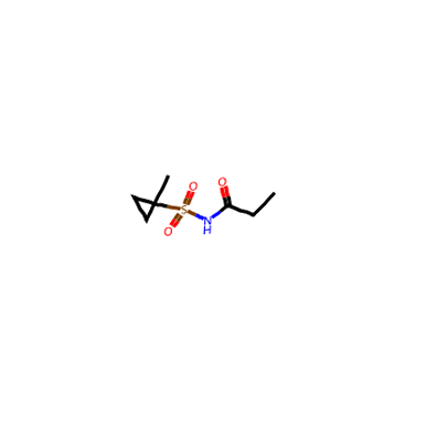 CCC(=O)NS(=O)(=O)C1(C)CC1